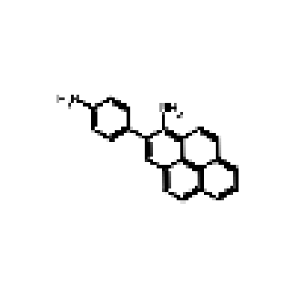 Nc1ccc(-c2cc3ccc4cccc5ccc(c2N)c3c45)cc1